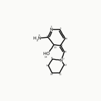 NC1=NC=CC(=CN2CCCCC2)C1O